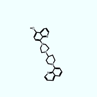 COc1ccc(N2CCN(C3CCN(c4cccc5cccnc45)CC3)CC2)c2ncccc12